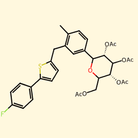 CC(=O)OCC1OC(c2ccc(C)c(Cc3ccc(-c4ccc(F)cc4)s3)c2)[C@H](OC(C)=O)C(OC(C)=O)[C@@H]1OC(C)=O